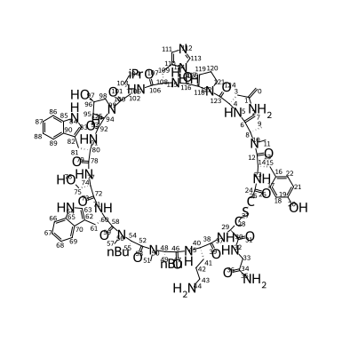 C=C(N)C[C@@H]1NC(=C)[C@H](C)N(C)C(=O)[C@H](Cc2ccc(O)cc2)NC(=O)CSC[C@@H](C(=O)NCC(N)=O)NC(=O)[C@H](CCCN)NC(=O)[C@H](CCCC)N(C)C(=O)[C@H](CCCC)N(C)C(=O)[C@H](Cc2c[nH]c3ccccc23)NC(=O)[C@H](CO)NC(=O)[C@H](Cc2c[nH]c3ccccc23)NC(=O)[C@@H]2C[C@@H](O)CN2C(=O)[C@H](CC(C)C)NC(=O)[C@H](Cc2cnc[nH]2)NC(=O)[C@@H]2CCCN2C1=O